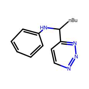 CCCCC(Nc1ccccc1)c1ccnnn1